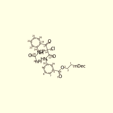 CCCCCCCCCCCCOC(=O)c1cccc(NC(=O)C(Cl)(Cl)C(=O)c2ccccc2NC(=O)CCC)c1